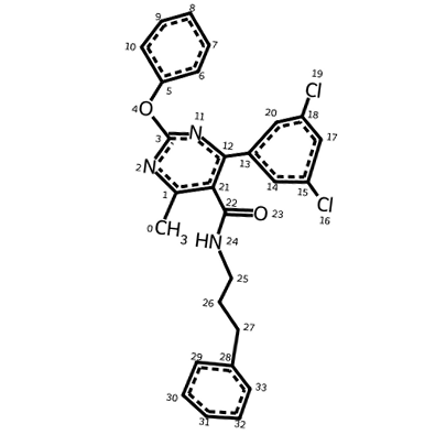 Cc1nc(Oc2ccccc2)nc(-c2cc(Cl)cc(Cl)c2)c1C(=O)NCCCc1ccccc1